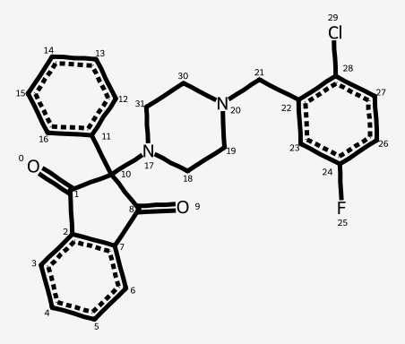 O=C1c2ccccc2C(=O)C1(c1ccccc1)N1CCN(Cc2cc(F)ccc2Cl)CC1